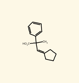 CC(C=C1CCCC1)(C(=O)O)c1ccccc1